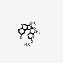 COc1ccc(-n2c(=O)n(C)c3cnc4ccc(Br)cc4c32)c(C)n1